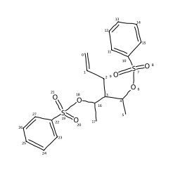 C=CCC(C(C)OS(=O)(=O)c1ccccc1)C(C)OS(=O)(=O)c1ccccc1